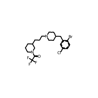 O=C(N1CCCC(CCCN2CCC(Cc3cc(Cl)ccc3Br)CC2)C1)C(F)(F)F